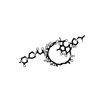 CO[C@H]1/C=C/O[C@@]2(C)Oc3c(C)c(O)c4c(c3C2=O)C2=NC3(CCN(CC(C)I)CC3)NC2=C(NC(=O)/C(C)=C\C=C\[C@H](C)[C@H](O)[C@@H](C)[C@@H](O)[C@@H](C)[C@H](OC(=O)CC(=O)N2CCC(N3CCN(C)C(=O)C3)CC2)[C@@H]1C)C4=O